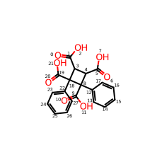 O=C(O)C1C(C(=O)O)C(C(=O)O)(c2ccccc2)C1(C(=O)O)c1ccccc1